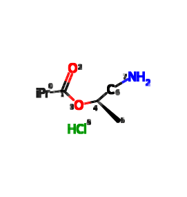 CC(C)C(=O)O[C@H](C)CN.Cl